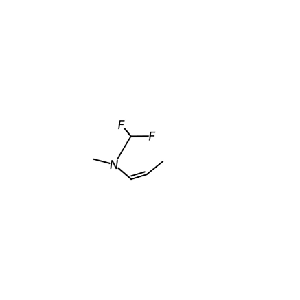 C/C=C\N(C)C(F)F